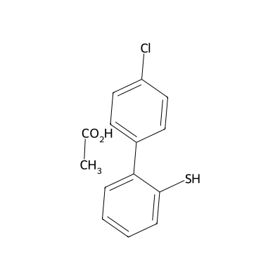 CC(=O)O.Sc1ccccc1-c1ccc(Cl)cc1